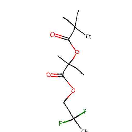 CCC(C)(C)C(=O)OC(C)(C)C(=O)OCC(F)(F)C(F)(F)F